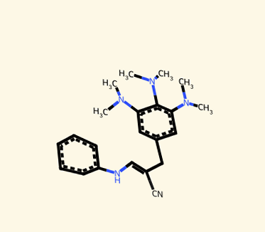 CN(C)c1cc(CC(C#N)=CNc2ccccc2)cc(N(C)C)c1N(C)C